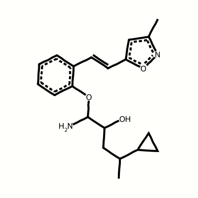 Cc1cc(C=Cc2ccccc2OC(N)C(O)CC(C)C2CC2)on1